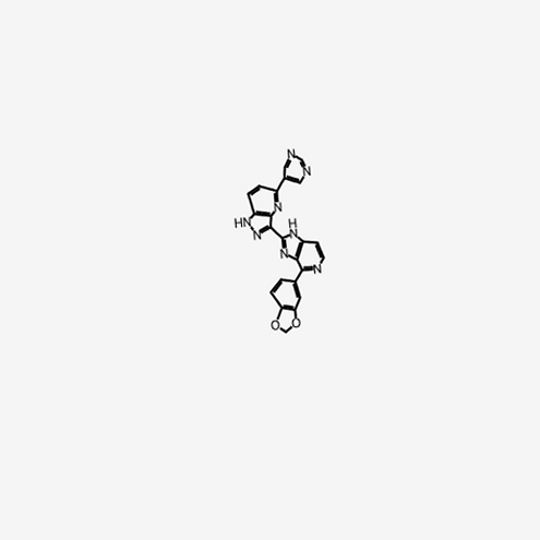 c1ncc(-c2ccc3[nH]nc(-c4nc5c(-c6ccc7c(c6)OCO7)nccc5[nH]4)c3n2)cn1